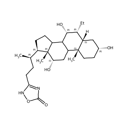 CC[C@H]1[C@@H](O)C2C3CC[C@H]([C@H](C)CCc4nc(=O)o[nH]4)[C@@]3(C)[C@@H](O)CC2[C@@]2(C)CC[C@@H](O)C[C@@H]12